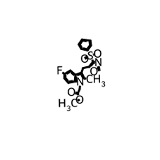 COC(=O)Cn1c(C)c(Cc2ocnc2S(=O)(=O)c2ccccc2)c2cc(F)ccc21